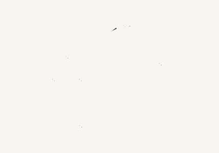 CO[C@H]1CC[C@H](Nc2ncc3c(Cl)ncc(-c4ccc(S(N)(=O)=O)cc4)c3n2)CC1